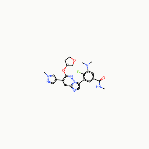 CNC(=O)c1cc(-c2cnc3cc(-c4cnn(C)c4)c(O[C@H]4CCOC4)nn23)c(F)c(N(C)C)c1